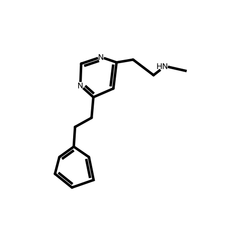 CNCCc1cc(CCc2ccccc2)ncn1